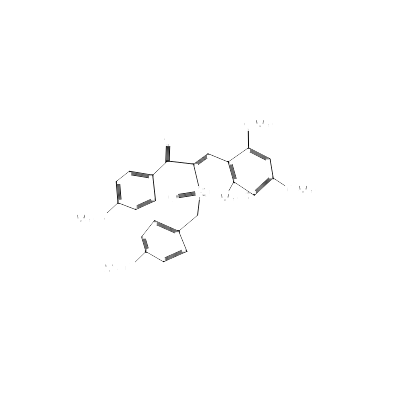 COc1ccc(CS(=O)(=O)C(=Cc2c(OC)cc(OC)cc2OC)C(=O)c2ccc(OC)cc2)cc1